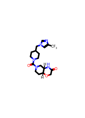 O=C1CO[C@@H]2CCN(C(=O)N3CCC(Cn4cnc(C(F)(F)F)c4)CC3)C[C@@H]2N1